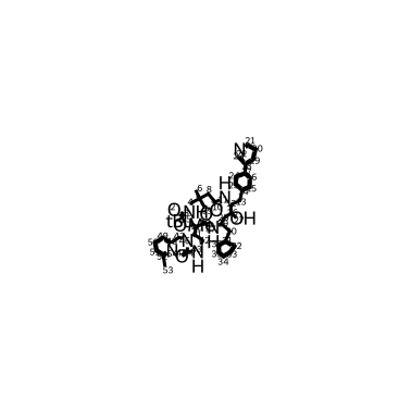 COC(=O)NCC(C)(C)CC(=O)NC(Cc1ccc(-c2cccnc2)cc1)C(O)CC(Cc1ccccc1)NC(=O)C(C1CNC(=O)N1Cc1cccc(C)n1)C(C)(C)C